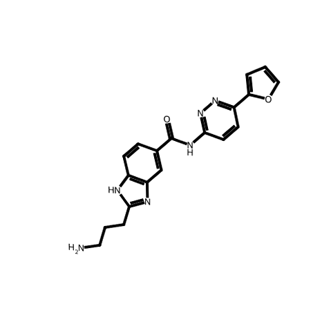 NCCCc1nc2cc(C(=O)Nc3ccc(-c4ccco4)nn3)ccc2[nH]1